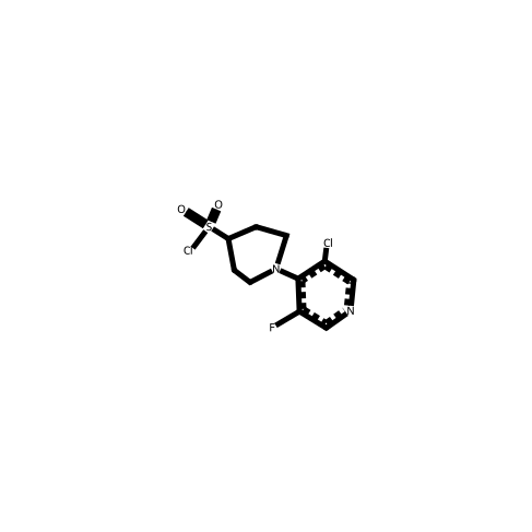 O=S(=O)(Cl)C1CCN(c2c(F)cncc2Cl)CC1